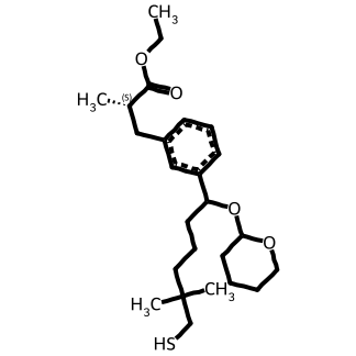 CCOC(=O)[C@@H](C)Cc1cccc(C(CCCC(C)(C)CS)OC2CCCCO2)c1